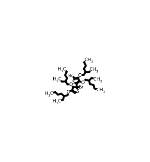 CCCCC(CC)COC1=CSC(Br)(c2sc(Br)c(OCC(CC)CCCC)c2OCC(CC)CCCC)C1OCC(CC)CCCC